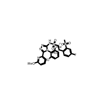 COC1=NC(c2nnc(NS(=O)(=O)[C@H](C)[C@@H](O)c3ccc(F)cc3S(C)(=O)=O)n2-c2c(O)cccc2OC)=C=C=C1